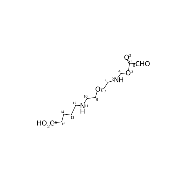 O=CC(=O)OCNCCOCCNCCCCC(=O)O